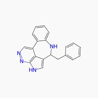 c1ccc(CC2Nc3ccccc3-c3cnnc4[nH]cc2c34)cc1